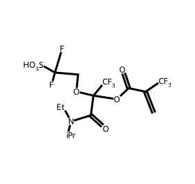 C=C(C(=O)OC(OCC(F)(F)S(=O)(=O)O)(C(=O)N(CC)C(C)C)C(F)(F)F)C(F)(F)F